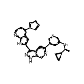 C=C(Nc1cncc(-c2cc3c(-c4cc5c(C6=CCC=C6)ccnc5[nH]4)n[nH]c3cn2)c1)C1CC1